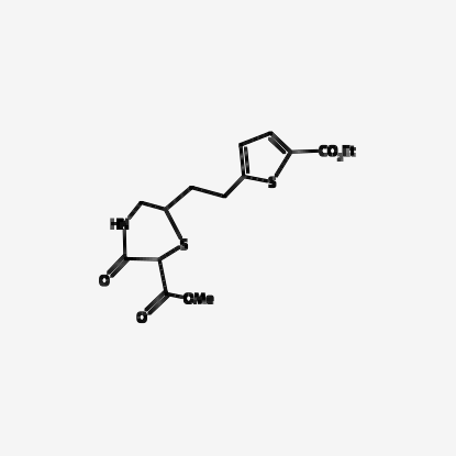 CCOC(=O)c1ccc(CCC2CNC(=O)C(C(=O)OC)S2)s1